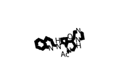 CC(=O)N1CCC(C2(O[C@H]3C[C@H](Nc4ccc5ccccc5n4)C3)C=NC=CN2)CC1